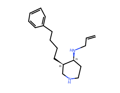 C=CCN[C@H]1CCNC[C@H]1CCCCc1ccccc1